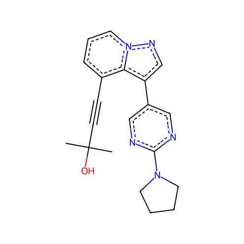 CC(C)(O)C#Cc1cccn2ncc(-c3cnc(N4CCCC4)nc3)c12